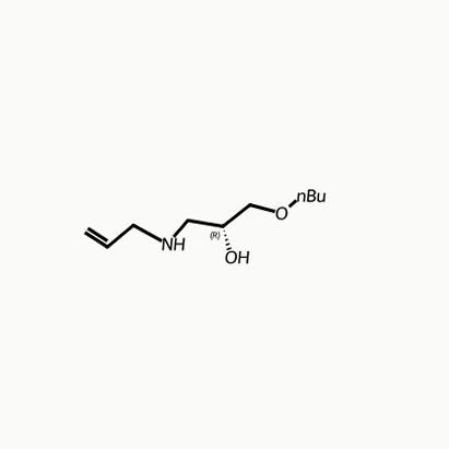 C=CCNC[C@@H](O)COCCCC